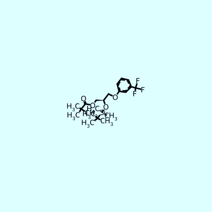 CC(C)(C)C(=O)OC[C@@H](COc1cccc(C(F)(F)F)c1)O[Si](C)(C)C(C)(C)C